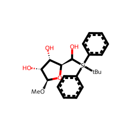 CO[C@@H]1O[C@H](C(O)[Si](c2ccccc2)(c2ccccc2)C(C)(C)C)[C@@H](O)[C@H]1O